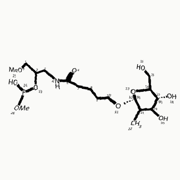 COCC(CNC(=O)CCCCO[C@@H]1OC(CO)[C@H](O)C(O)C1C)OP(O)OC